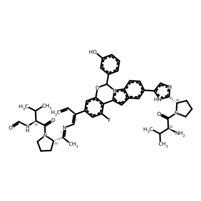 C=C/C(=C\N=C(/C)[C@@H]1CCCN1C(=O)[C@@H](NC=O)C(C)C)c1cc(F)c2c(c1)OC(c1cccc(O)c1)n1c-2cc2cc(-c3cnc([C@@H]4CCCN4C(=O)[C@@H](N)C(C)C)[nH]3)ccc21